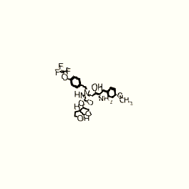 COc1ccc(C[C@H](N)[C@@H](O)CN(Cc2ccc(OC(F)(F)F)cc2)NC(=O)O[C@H]2CO[C@H]3OCC[C@H]32)cc1